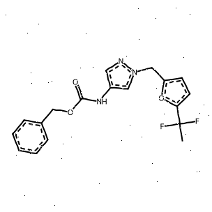 CC(F)(F)c1ccc(Cn2cc(NC(=O)OCc3ccccc3)cn2)o1